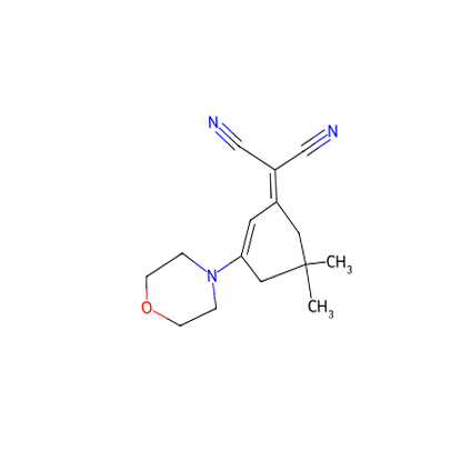 CC1(C)CC(N2CCOCC2)=CC(=C(C#N)C#N)C1